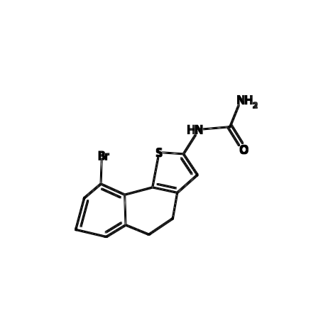 NC(=O)Nc1cc2c(s1)-c1c(Br)cccc1CC2